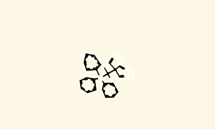 C=CC(C=C)(C=C)C(C)(C)[Si](c1ccccc1)(c1ccccc1)c1ccccc1